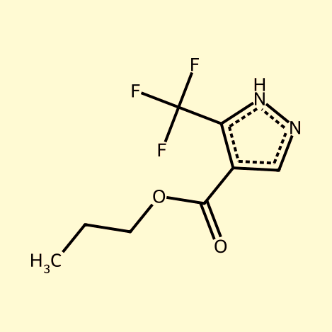 CCCOC(=O)c1cn[nH]c1C(F)(F)F